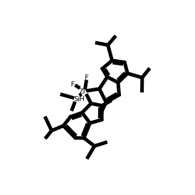 CC1=Cc2c(C(C)C)cc(C(C)C)cc2[CH]1[Zr]([F])([F])([CH]1C(C)=Cc2c(C(C)C)cc(C(C)C)cc21)[SiH](C)C